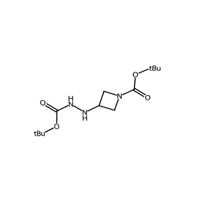 CC(C)(C)OC(=O)NNC1CN(C(=O)OC(C)(C)C)C1